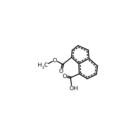 COC(=O)c1cccc2cccc(C(=O)O)c12